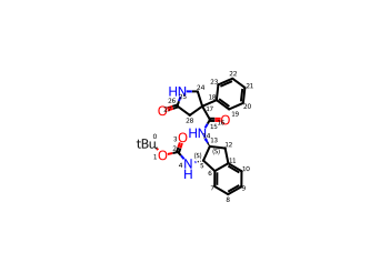 CC(C)(C)OC(=O)N[C@H]1c2ccccc2C[C@@H]1NC(=O)C1(c2ccccc2)CNC(=O)C1